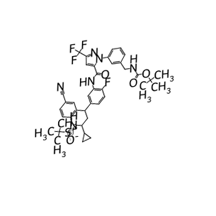 CC(C)(C)OC(=O)NCc1cccc(-n2nc(C(F)(F)F)cc2C(=O)Nc2cc(C(CC(N[S@+]([O-])C(C)(C)C)C3CC3)c3cccc(C#N)c3)ccc2F)c1